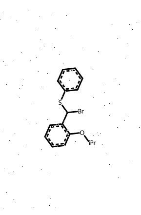 CC(C)Oc1ccccc1C(Br)Sc1ccccc1